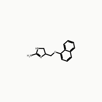 NC1=NC(COc2cccc3ccccc23)CN1